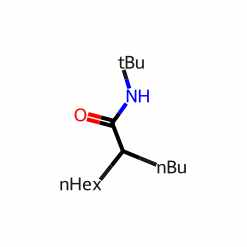 CCCCCCC(CCCC)C(=O)NC(C)(C)C